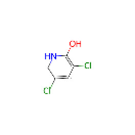 OC1=C(Cl)[C]=C(Cl)CN1